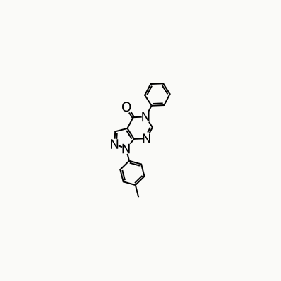 Cc1ccc(-n2ncc3c(=O)n(-c4ccccc4)cnc32)cc1